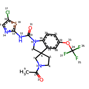 CC(=O)N1CCC2(C1)CN(C(=O)Nc1ncc(Cl)s1)c1ccc(OC(F)(F)F)cc12